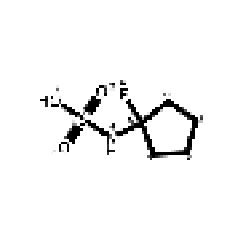 O=S(=O)(O)NC1(F)CCCC1